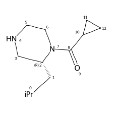 CC(C)C[C@@H]1CNCCN1C(=O)C1CC1